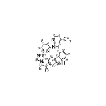 Cc1cc(Nc2cc(C(F)(F)F)ccn2)nc(-c2cn(C(C)C(=O)N3CCc4c([nH]c5ccccc45)C3)nn2)c1